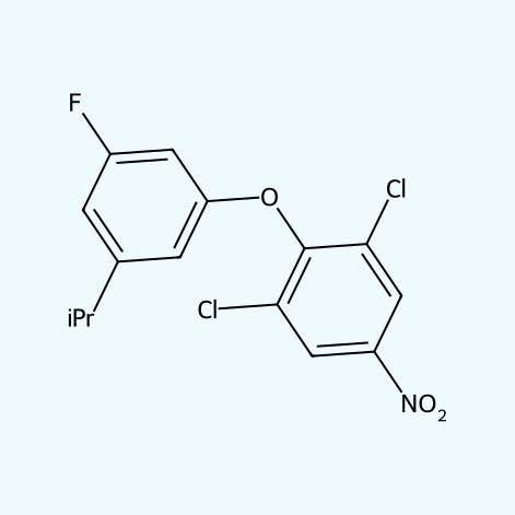 CC(C)c1cc(F)cc(Oc2c(Cl)cc([N+](=O)[O-])cc2Cl)c1